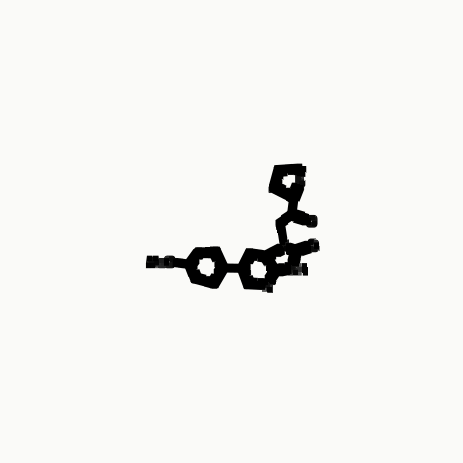 COc1ccc(-c2cnc3[nH]c(=O)n(CC(=O)c4cccs4)c3c2)cc1